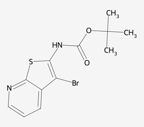 CC(C)(C)OC(=O)Nc1sc2ncccc2c1Br